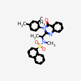 Cc1ccc(-n2c(C(C)N(C)S(=O)(=O)c3cccc4ccccc34)nc3ccccc3c2=O)c(C)c1